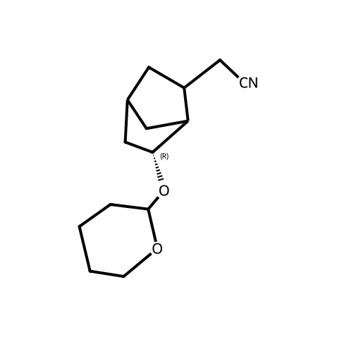 N#CCC1CC2CC1[C@H](OC1CCCCO1)C2